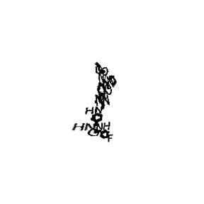 CCOC(=O)N(C)[C@@](C)(C(=O)N1CCCC1)c1ccc2c(c1)nc(CNc1ccc(C(=N)NC(=O)c3ccc(F)cc3)cc1)n2C